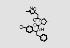 Cc1cc(CC(=O)N2C[C@H](C)C[C@H]2C(=O)N[C@@H](Cc2ccccc2)c2ccc(Cl)cc2)on1